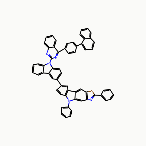 c1ccc(-c2nc3cc4c(cc3s2)c2cc(-c3ccc5c(c3)c3ccccc3n5-c3nc(-c5ccc(-c6cccc7ccccc67)cc5)c5ccccc5n3)ccc2n4-c2ccccc2)cc1